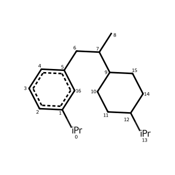 CC(C)c1cccc(CC(C)C2CCC(C(C)C)CC2)c1